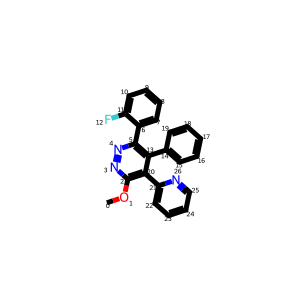 COc1nnc(-c2ccccc2F)c(-c2ccccc2)c1-c1ccccn1